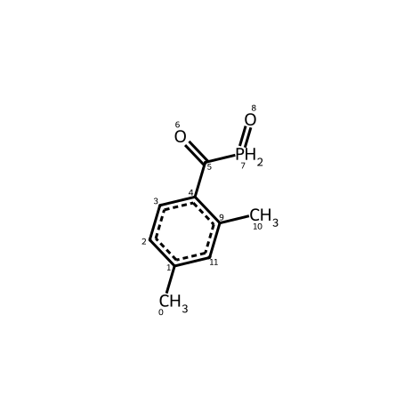 Cc1ccc(C(=O)[PH2]=O)c(C)c1